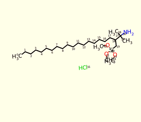 CCCCCCCCCCCCCCCCCCC(C[Si](OC)(OC)OC)C(C)(C)N.Cl